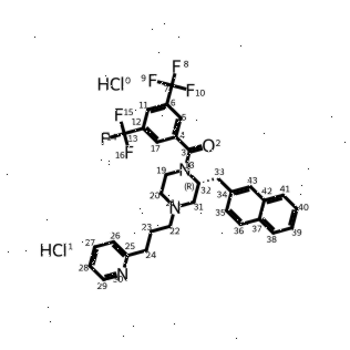 Cl.Cl.O=C(c1cc(C(F)(F)F)cc(C(F)(F)F)c1)N1CCN(CCCc2ccccn2)C[C@H]1Cc1ccc2ccccc2c1